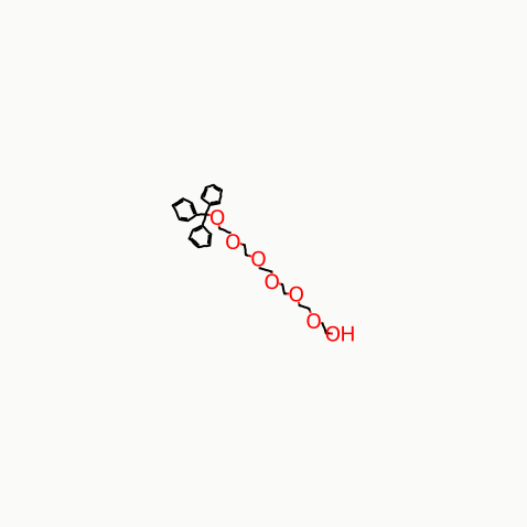 OCCOCCOCCOCCOCCOCCOC(c1ccccc1)(c1ccccc1)c1ccccc1